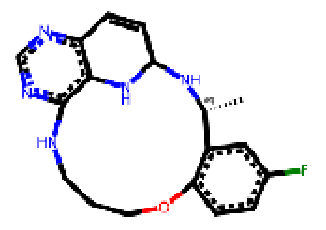 C[C@H]1NC2C=Cc3ncnc(c3N2)NCCCOc2ccc(F)cc21